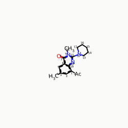 CC(=O)c1cc(C)cc2c(=O)n(C)c(N3CCCCC3)nc12